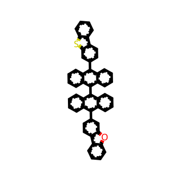 c1ccc2c(c1)oc1cc(-c3c4ccccc4c(-c4c5ccccc5c(-c5ccc6c(c5)sc5ccccc56)c5ccccc45)c4ccccc34)ccc12